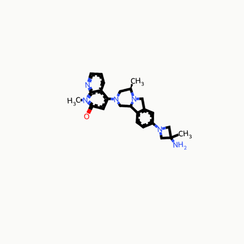 C[C@@H]1CN(c2cc(=O)n(C)c3ncccc23)CC2c3ccc(N4CC(C)(N)C4)cc3CN21